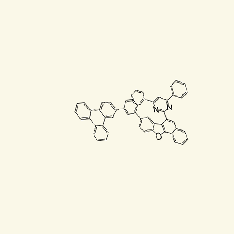 c1ccc(-c2cc(-c3ccccc3)nc(-c3cc4ccccc4c4oc5ccc(-c6cccc(-c7ccc8c9ccccc9c9ccccc9c8c7)c6)cc5c34)n2)cc1